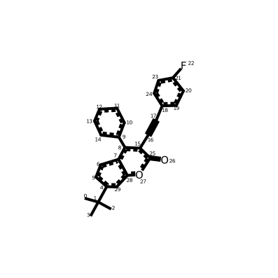 CC(C)(C)c1ccc2c(-c3ccccc3)c(C#Cc3ccc(F)cc3)c(=O)oc2c1